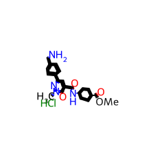 COC(=O)[C@H]1CC[C@H](NC(=O)c2cc(-c3ccc(CN)cc3)nn(C)c2=O)CC1.Cl